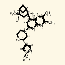 Cc1nc2nc(N3CCO[C@@H](c4cnn(C)c4)C3)nc([C@H]3C[C@@H](C(F)(F)F)C4CC3C4)c2nc1C